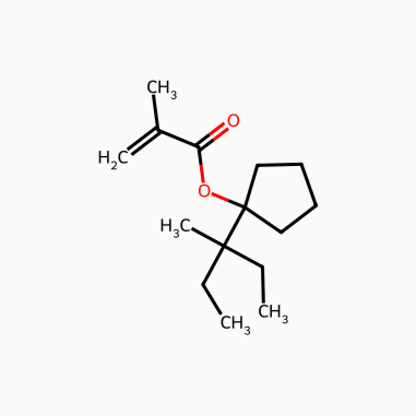 C=C(C)C(=O)OC1(C(C)(CC)CC)CCCC1